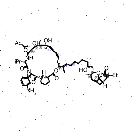 CC[C@H]1C[C@@H]2CC3=C[C@@H](C)[C@H](C[C@H](O)[C@@H](C)CC/C=C/C=C(\C)[C@@H]4C/C=C/C=C/[C@H](O)[C@H](C)[C@@H](O)[C@@H](CCC(C)=O)C(=O)N[C@@H](C(C)C)C(=O)NC(c5cccc(N)c5)C(=O)N5CCCC(N5)C(=O)O4)O[C@@]32NC1=O